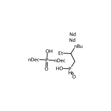 CCCCC(CC)C[PH](=O)O.CCCCCCCCCCP(=O)(O)CCCCCCCCCC.[Nd].[Nd]